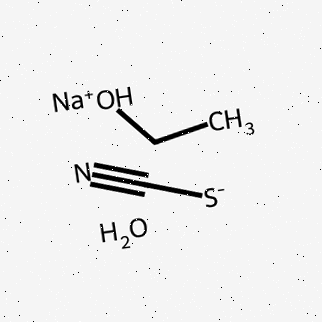 CCO.N#C[S-].O.[Na+]